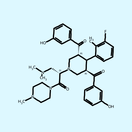 Cc1c(F)cccc1C1[C@@H](C(=O)c2cccc(O)c2)CN([C@@H](CN(C)C)C(=O)N2CCN(C)CC2)C[C@@H]1C(=O)c1cccc(O)c1